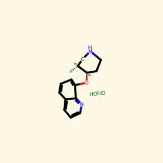 Cl.Cl.F[C@@H]1CNCC[C@H]1Oc1cccc2cccnc12